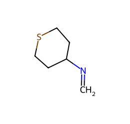 C=NC1CCSCC1